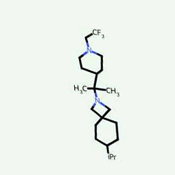 CC(C)C1CCC2(CC1)CN(C(C)(C)C1CCN(CC(F)(F)F)CC1)C2